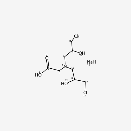 O=C(O)CN(CC(O)CCl)CC(O)CCl.[NaH]